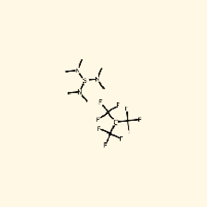 CN(C)[S+](N(C)C)N(C)C.FC(F)(F)[C-](C(F)(F)F)C(F)(F)F